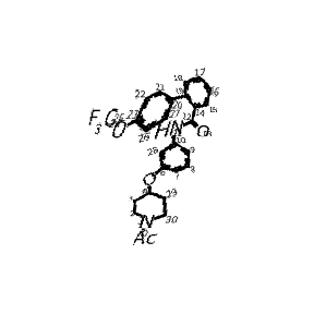 CC(=O)N1CCC(Oc2cccc(NC(=O)c3ccccc3-c3ccc(OC(F)(F)F)cc3)c2)CC1